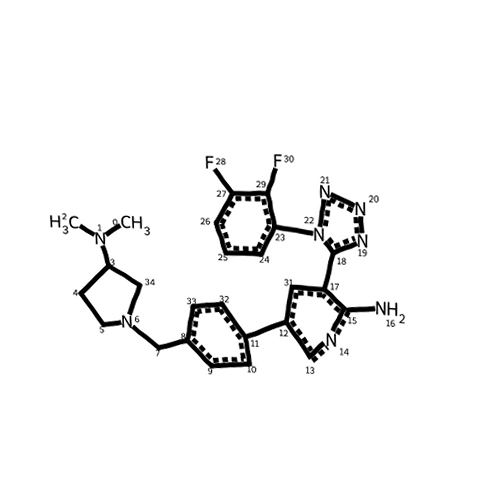 CN(C)C1CCN(Cc2ccc(-c3cnc(N)c(-c4nnnn4-c4cccc(F)c4F)c3)cc2)C1